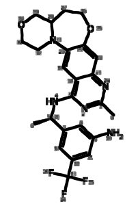 Cc1nc(N[C@H](C)c2cc(N)cc(C(F)(F)F)c2)c2cc3c(cc2n1)OCCC1COCCN31